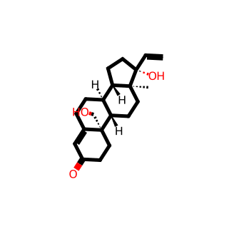 C=C[C@]1(O)CC[C@H]2[C@@H]3CCC4=CC(=O)CC[C@]4(CO)[C@H]3CC[C@@]21C